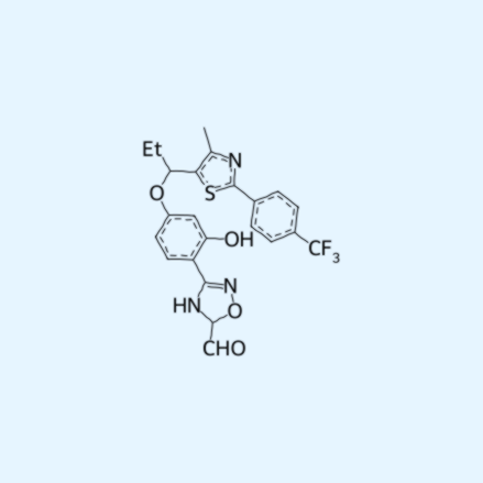 CCC(Oc1ccc(C2=NOC(C=O)N2)c(O)c1)c1sc(-c2ccc(C(F)(F)F)cc2)nc1C